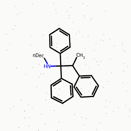 CCCCCCCCCCNC(c1ccccc1)(c1ccccc1)C(C)c1ccccc1